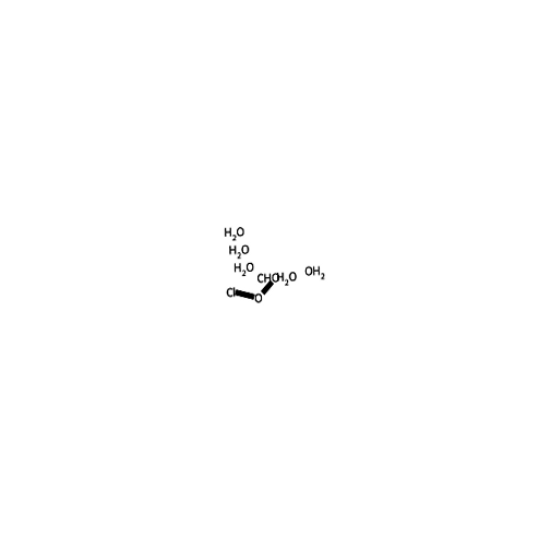 O.O.O.O.O.O=COCl